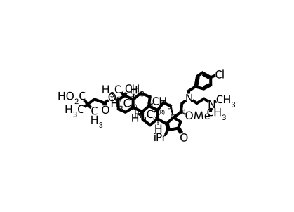 CO[C@@H](CN(CCN(C)C)Cc1ccc(Cl)cc1)[C@@]12CC[C@]3(C)[C@H](CC[C@@H]4[C@@]5(C)CC[C@H](OC(=O)CC(C)(C)C(=O)O)C(C)(C)[C@@H]5CC[C@]43C)C1=C(C(C)C)C(=O)C2